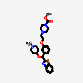 CN1CCC(OC(c2cccc(OCCN3CCN(C(=O)OC(C)(C)C)CC3)c2)c2nc3ccccc3s2)CC1